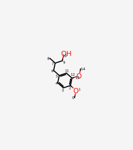 COc1ccc(CC(C)CO)cc1OC